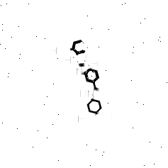 Cc1ccnc(Cl)c1Nc1nc2cc(C(=O)NC3CCC(C)(C)CC3)ccc2[nH]1